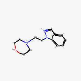 c1ccc2c(c1)cnn2CCN1CCOCC1